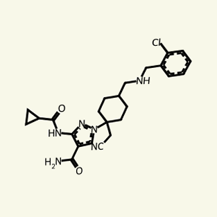 N#CCC1(n2cc(C(N)=O)c(NC(=O)C3CC3)n2)CCC(CNCc2ccccc2Cl)CC1